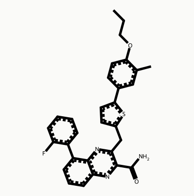 CCCOc1ccc(-c2ccc(Cc3nc4c(-c5ccccc5F)cccc4nc3C(N)=O)s2)cc1C